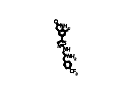 N[C@@H](CNc1ncc(-c2cc(F)c3c(c2)CC(=O)N3)s1)Cc1ccc(C(F)(F)F)cc1